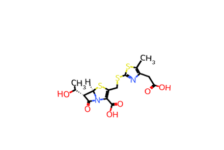 Cc1sc(SCC2=C(C(=O)O)N3C(=O)[C@H](C(C)O)[C@H]3S2)nc1CC(=O)O